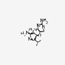 CC(C)c1cnc(N)cc1Oc1cnc(N)nc1N